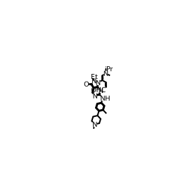 CCn1c(=O)c2cnc(Nc3ccc(C4CCN(C)CC4)c(C)c3)nc2n1C(/C=C\C=O)=C/N(C)C(C)C